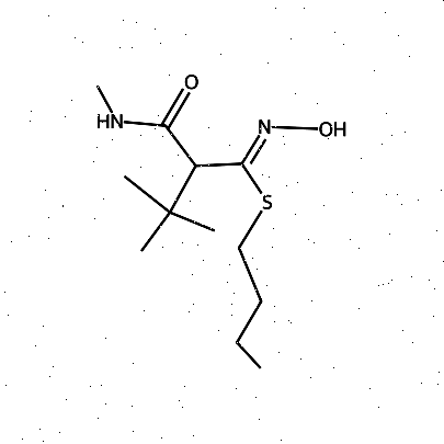 CCCCS/C(=N\O)C(C(=O)NC)C(C)(C)C